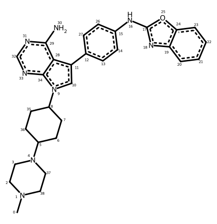 CN1CCN(C2CCC(n3cc(-c4ccc(Nc5nc6ccccc6o5)cc4)c4c(N)ncnc43)CC2)CC1